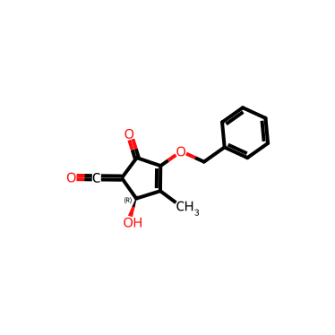 CC1=C(OCc2ccccc2)C(=O)C(=C=O)[C@@H]1O